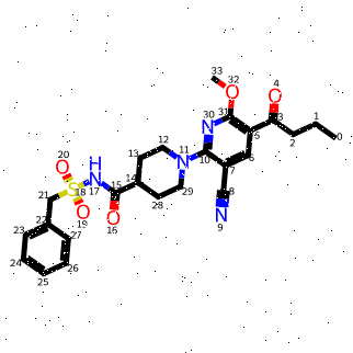 CCCC(=O)c1cc(C#N)c(N2CCC(C(=O)NS(=O)(=O)Cc3ccccc3)CC2)nc1OC